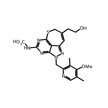 COc1c(C)cnc(Cn2nc3c4c(nc(NC(=O)O)nc42)SCC(CCO)=C3)c1C